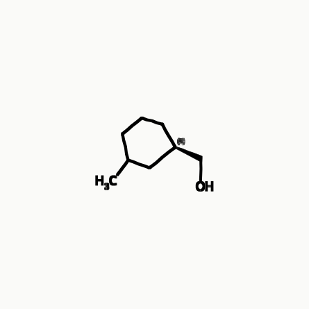 CC1CCC[C@@H](CO)C1